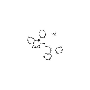 CC(=O)OC(CCCP(c1ccccc1)c1ccccc1)P(c1ccccc1)c1ccccc1.[Pd]